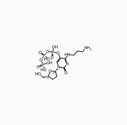 NCCCNc1nc(=O)n([C@H]2CC[C@@H](CO)O2)cc1OP(=O)(O)OP(=O)(O)OP(=O)(O)O